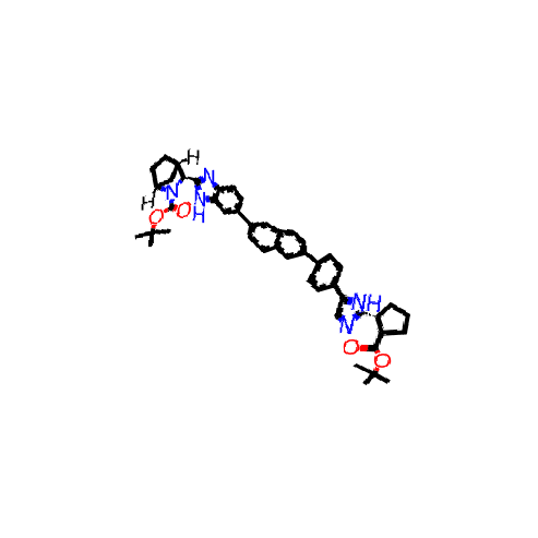 CC(C)(C)OC(=O)C1CCC[C@H]1c1ncc(-c2ccc(-c3ccc4cc(-c5ccc6nc([C@@H]7[C@H]8CC[C@H](C8)N7C(=O)OC(C)(C)C)[nH]c6c5)ccc4c3)cc2)[nH]1